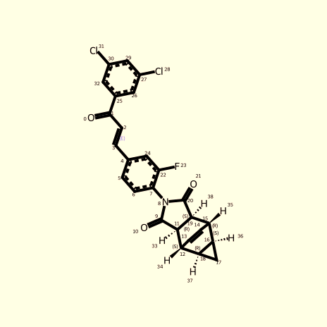 O=C(/C=C/c1ccc(N2C(=O)[C@@H]3[C@@H]4C=C[C@@H]([C@H]5C[C@@H]45)[C@@H]3C2=O)c(F)c1)c1cc(Cl)cc(Cl)c1